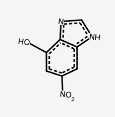 O=[N+]([O-])c1cc(O)c2nc[nH]c2c1